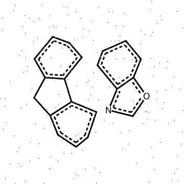 c1ccc2c(c1)Cc1ccccc1-2.c1ccc2ocnc2c1